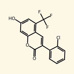 O=c1oc2cc(O)cc(C(F)(F)F)c2cc1-c1ccccc1Cl